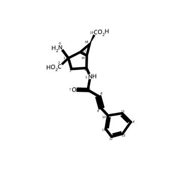 NC1(C(=O)O)CC(NC(=O)C#Cc2ccccc2)C2C1[C@H]2C(=O)O